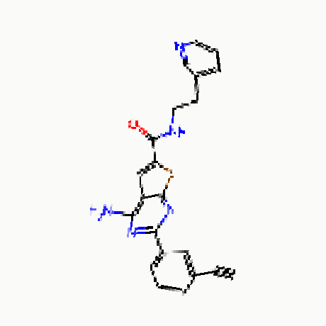 C#Cc1cccc(-c2nc(N)c3cc(C(=O)NCCc4cccnc4)sc3n2)c1